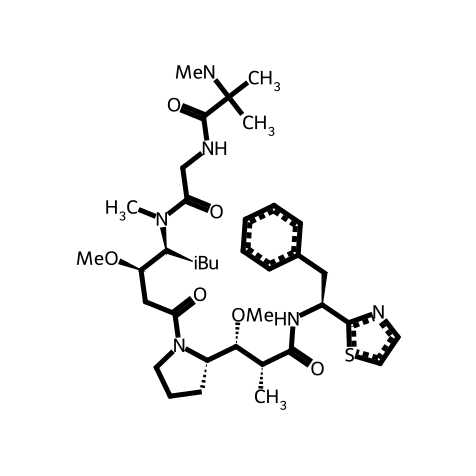 CC[C@H](C)[C@@H]([C@@H](CC(=O)N1CCC[C@H]1[C@H](OC)[C@@H](C)C(=O)N[C@@H](Cc1ccccc1)c1nccs1)OC)N(C)C(=O)CNC(=O)C(C)(C)NC